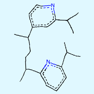 CC(C)c1cc(C(C)CCC(C)c2cccc(C(C)C)n2)ccn1